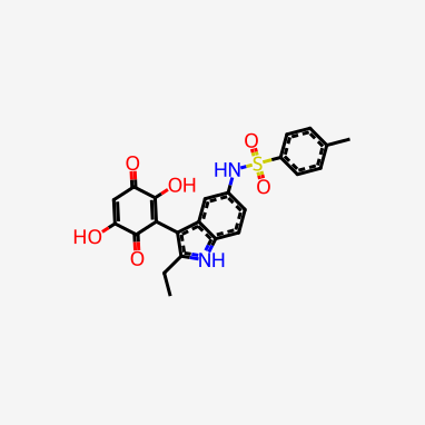 CCc1[nH]c2ccc(NS(=O)(=O)c3ccc(C)cc3)cc2c1C1=C(O)C(=O)C=C(O)C1=O